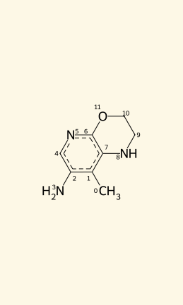 Cc1c(N)cnc2c1NCCO2